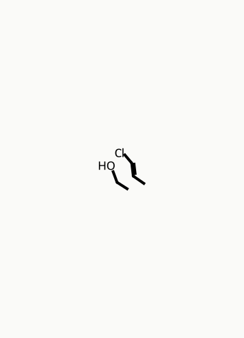 CC=CCl.CCO